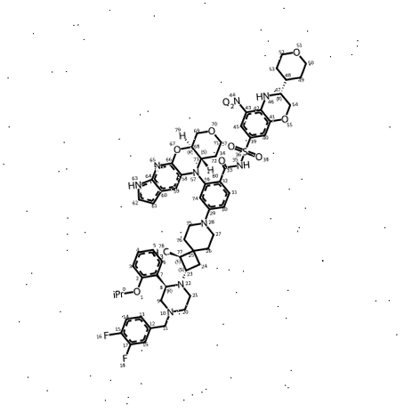 CC(C)Oc1ccccc1[C@@H]1CN(Cc2ccc(F)c(F)c2)CCN1[C@H]1CC2(CCN(c3ccc(C(=O)NS(=O)(=O)c4cc5c(c([N+](=O)[O-])c4)N[C@H](C4CCOCC4)CO5)c(N4c5cc6cc[nH]c6nc5O[C@H]5COCC[C@@H]54)c3)CC2)[C@@H]1C